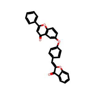 O=C1/C(=C/c2ccc(Oc3ccc4oc(-c5ccccc5)cc(=O)c4c3)cc2)Oc2ccccc21